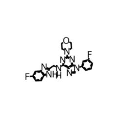 Fc1cccc(-n2cnc3c(NCc4nc5cc(F)ccc5[nH]4)nc(N4CCOCC4)nc32)c1